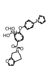 O=CNO.O=S(=O)(c1ccc(Oc2ccc(-n3cccc3)cc2)cc1)N1CCc2ccoc2C1